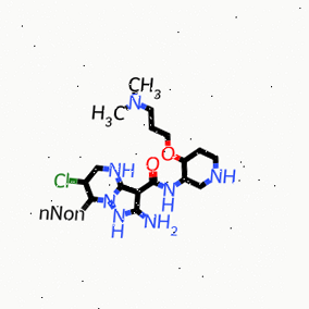 CCCCCCCCCC1C(Cl)CNC2C(C(=O)NC3CNCCC3OCCCN(C)C)C(N)NN12